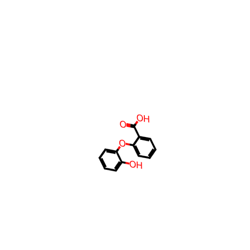 O=C(O)c1ccccc1Oc1ccccc1O